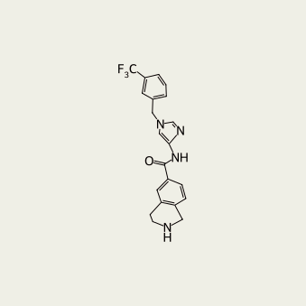 O=C(Nc1cn(Cc2cccc(C(F)(F)F)c2)cn1)c1ccc2c(c1)CCNC2